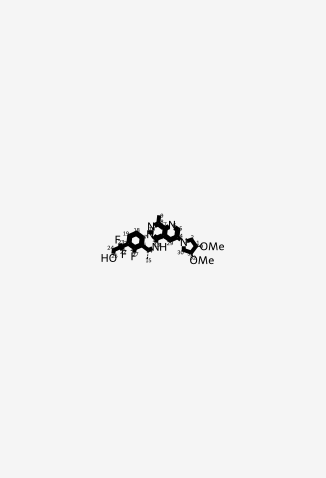 CO[C@H]1CN(c2cnc3c(C)nnc(N[C@H](C)c4cccc(C(F)(F)CO)c4F)c3c2)C[C@H]1OC